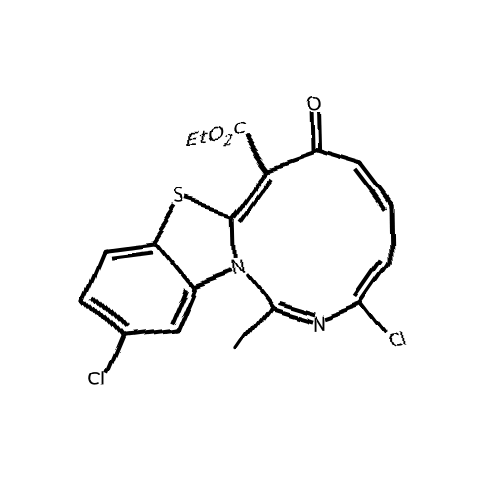 CCOC(=O)c1c(=O)cccc(Cl)nc(C)n2c1sc1ccc(Cl)cc12